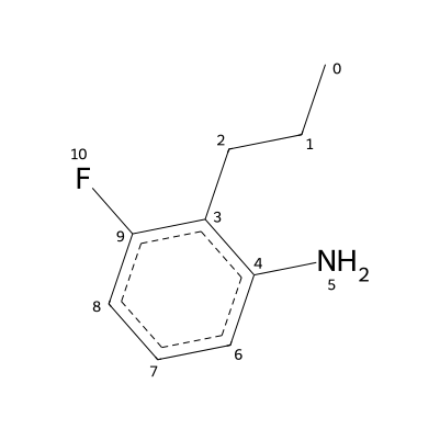 CCCc1c(N)cccc1F